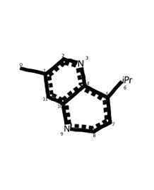 Cc1cnc2c(C(C)C)ccnc2c1